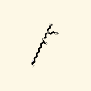 CC/C=C/CCCCCCCC(=O)OCCN(CCO)CCO